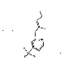 CC/N=C(\C)Cc1cccc(C(F)(F)F)c1